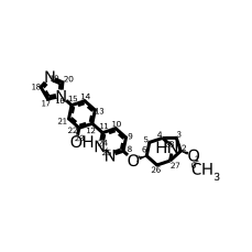 CO[C@@H]1CC2C[C@H](Oc3ccc(-c4ccc(-n5ccnc5)cc4O)nn3)CC1N2